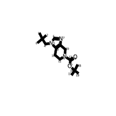 CC(C)(C)Cn1cnc2c1CCN(C(=O)OC(C)(C)C)C2